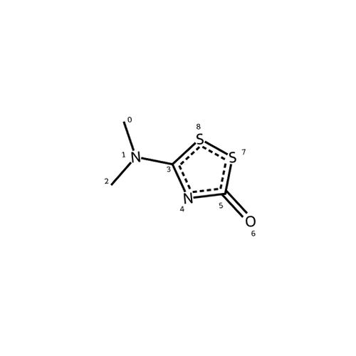 CN(C)c1nc(=O)ss1